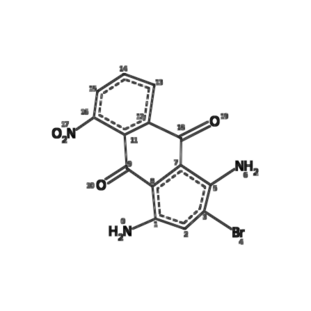 Nc1cc(Br)c(N)c2c1C(=O)c1c(cccc1[N+](=O)[O-])C2=O